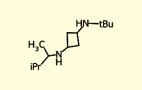 CC(C)C(C)NC1CC(NC(C)(C)C)C1